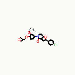 COc1cc(-n2ccc3oc(-c4ccc(Cl)cc4)cc3c2=O)ccc1OCC1COC1